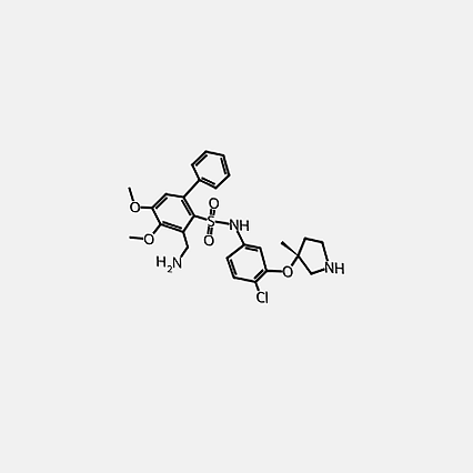 COc1cc(-c2ccccc2)c(S(=O)(=O)Nc2ccc(Cl)c(O[C@]3(C)CCNC3)c2)c(CN)c1OC